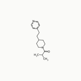 CC(C)C(=O)N1CCC(CCc2ccncc2)CC1